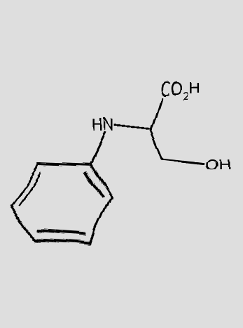 O=C(O)C(CO)Nc1ccccc1